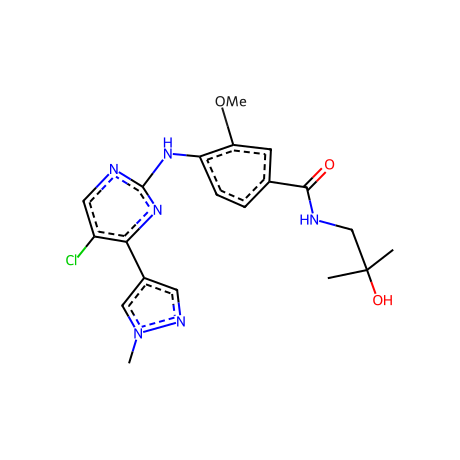 COc1cc(C(=O)NCC(C)(C)O)ccc1Nc1ncc(Cl)c(-c2cnn(C)c2)n1